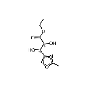 CCOC(=O)[C@@H](O)[C@H](O)c1coc(C)n1